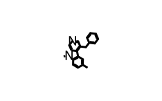 Cc1ccc2c(c1)c1c(Cc3ccccc3)cncc1n2C